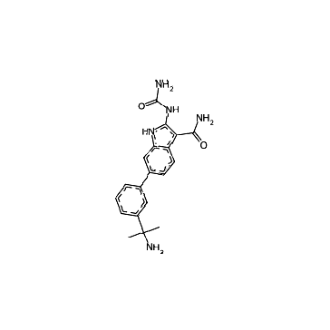 CC(C)(N)c1cccc(-c2ccc3c(C(N)=O)c(NC(N)=O)[nH]c3c2)c1